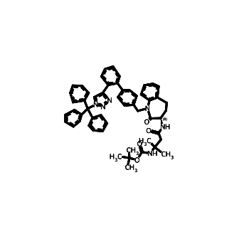 CC(C)(CC(=O)N[C@@H]1CCc2ccccc2N(Cc2ccc(-c3ccccc3-c3cn(C(c4ccccc4)(c4ccccc4)c4ccccc4)nn3)cc2)C1=O)NC(=O)OC(C)(C)C